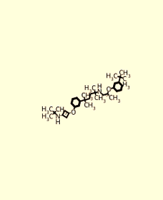 C[C@@H](CNC(C)(C)CCC(C)(C)c1cccc(O[C@H]2C[C@@H](NC(C)(C)C)C2)c1)Oc1cccc(C(C)(C)C)c1